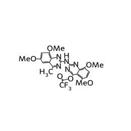 COc1cc(OC)c2nc(Nc3nc(OC(=O)C(F)(F)F)c4c(OC)ccc(OC)c4n3)nc(C)c2c1